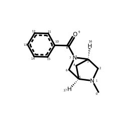 CN1C[C@H]2C[C@@H]1CN2C(=O)c1ccccc1